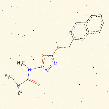 CCN(C)C(=O)N(C)c1nnc(SCc2cc3ccccc3cn2)s1